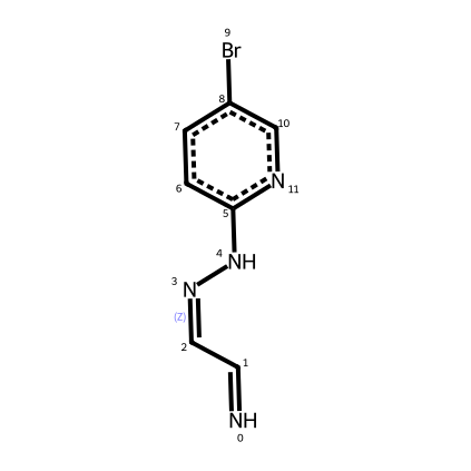 N=C/C=N\Nc1ccc(Br)cn1